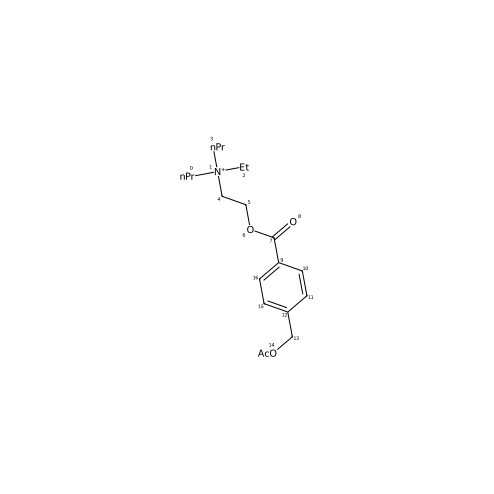 CCC[N+](CC)(CCC)CCOC(=O)c1ccc(COC(C)=O)cc1